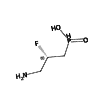 NC[C@H](F)C[PH](=O)O